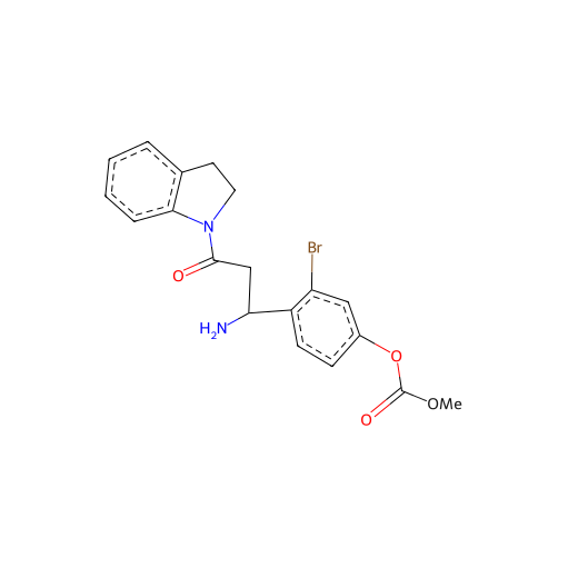 COC(=O)Oc1ccc(C(N)CC(=O)N2CCc3ccccc32)c(Br)c1